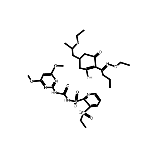 CCCC(=NOCC)C1=C(O)CC(CC(C)SCC)CC1=O.CCS(=O)(=O)c1cccnc1S(=O)(=O)NC(=O)Nc1nc(OC)cc(OC)n1